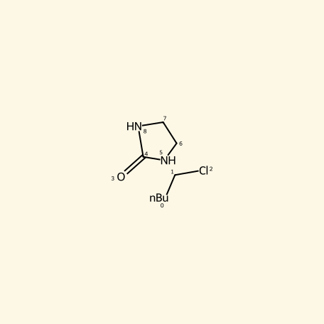 CCCCCCl.O=C1NCCN1